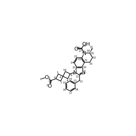 COC(=O)C1CC2(C1)CC(n1c(Cc3ccccc3)nc3c4c(ccc31)N(C(=O)O)[C@@H](C)CC4)C2